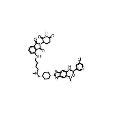 COc1cc2nc([C@H]3CC[C@H](CN(C)CCCCNc4cccc5c4C(=O)N(C4CCC(=O)NC4=O)C5=O)CC3)sc2cc1NC(=O)c1cncc(Cl)c1